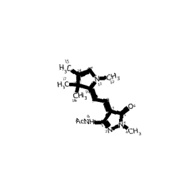 CC(=O)NC1=NN(C)C(=O)/C1=C/C=C1\N(C)C=C(C)C1(C)C